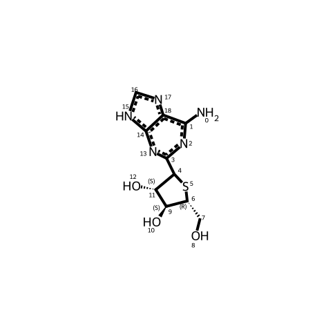 Nc1nc(C2S[C@H](CO)[C@@H](O)[C@@H]2O)nc2[nH]cnc12